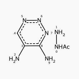 CC(=O)NN.Nc1cnnnc1N